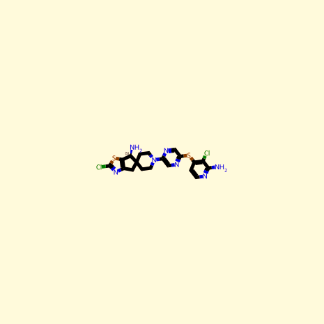 Nc1nccc(Sc2cnc(N3CCC4(CC3)Cc3nc(Cl)sc3[C@H]4N)cn2)c1Cl